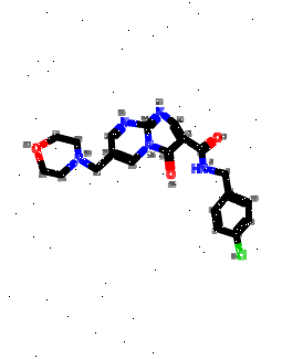 O=C(NCc1ccc(Cl)cc1)c1cnc2ncc(CN3CCOCC3)cn2c1=O